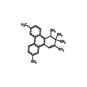 CC1=Cc2c(c3ccc(C)cc3c3ccc(C)cc23)C(C)C1(C)C